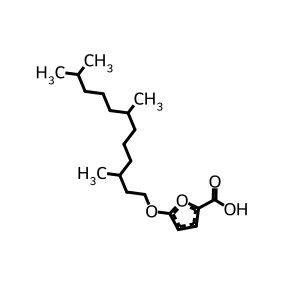 CC(C)CCCC(C)CCCC(C)CCOc1ccc(C(=O)O)o1